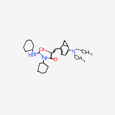 CCN(C)C1=CC=C(/C=C2/OC(NC3CCCCC3)N(C3CCCCC3)C2=O)C2CC12